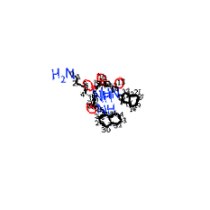 NCCCC[C@H](NC(=O)[C@H]1O[C@@H]1C(=O)NC1Cc2ccccc2C1)C(=O)Nc1cccc2ccccc12